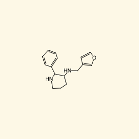 c1ccc(C2NCCCC2NCc2ccoc2)cc1